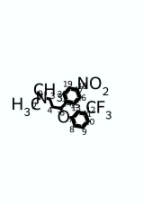 CN(C)CCC(Oc1cccc(C(F)(F)F)c1)c1ccc([N+](=O)[O-])cc1